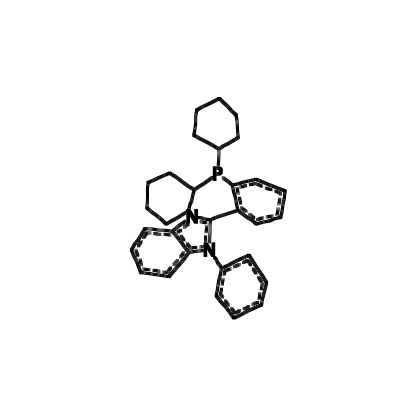 c1ccc(-n2c(-c3ccccc3P(C3CCCCC3)C3CCCCC3)nc3ccccc32)cc1